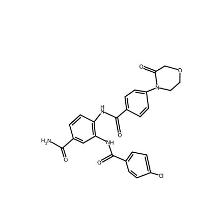 NC(=O)c1ccc(NC(=O)c2ccc(N3CCOCC3=O)cc2)c(NC(=O)c2ccc(Cl)cc2)c1